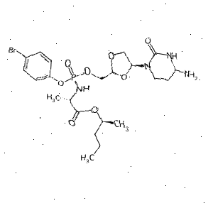 CCC[C@H](C)OC(=O)[C@H](C)NP(=O)(OC[C@H]1OC[C@@H](N2CCC(N)NC2=O)O1)Oc1ccc(Br)cc1